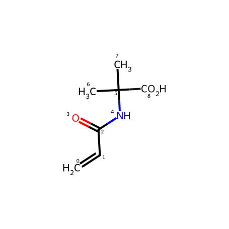 C=CC(=O)NC(C)(C)C(=O)O